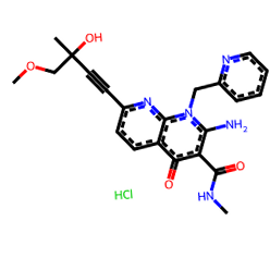 CNC(=O)c1c(N)n(Cc2ccccn2)c2nc(C#CC(C)(O)COC)ccc2c1=O.Cl